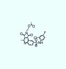 CC(=O)OCCN1C(=O)c2c(C)nc3ccc(S(=O)(=O)Nc4ccc(F)cc4Cl)cc3c2C1=O